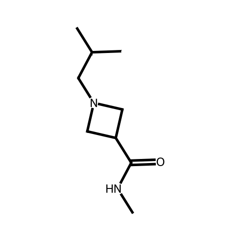 CNC(=O)C1CN(C[C](C)C)C1